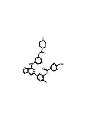 Cc1ccc(-c2cn3ccnc3c(Nc3cccc(CC(=O)N4CCN(C)CC4)c3)n2)cc1NC(=O)c1ccc(C(C)(C)C)cc1